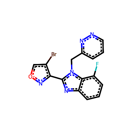 Fc1cccc2nc(-c3nocc3Br)n(Cc3cccnn3)c12